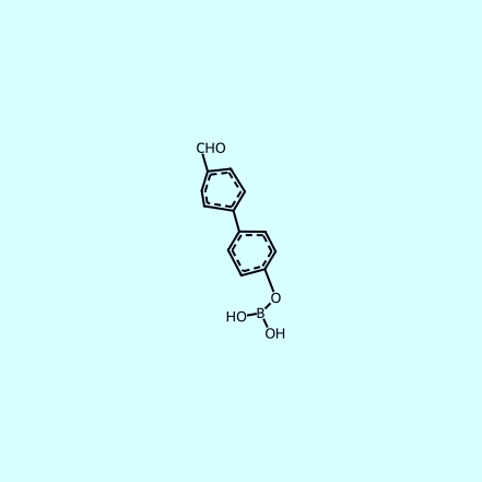 O=Cc1ccc(-c2ccc(OB(O)O)cc2)cc1